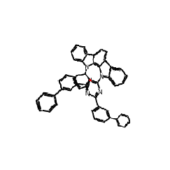 C1=CCC(n2c3ccccc3c3ccc4c5ccccc5n(-c5nc(-c6cccc(-c7ccccc7)c6)nc(-c6cccc(-c7ccccc7)c6)n5)c4c32)C=C1